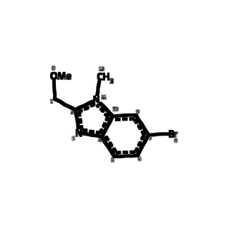 COCc1nc2ccc(Br)cc2n1C